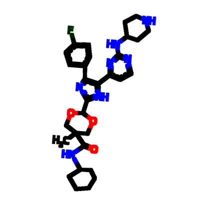 CC1(C(=O)NC2CCCCC2)COC(c2nc(-c3ccc(F)cc3)c(-c3ccnc(NC4CCNCC4)n3)[nH]2)OC1